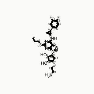 CCCSc1nc(N[C@@H]2C[C@H]2c2ccc(F)c(F)c2)c2nnn([C@@H]3C[C@H](OCCN)[C@@H](O)[C@H]3O)c2n1